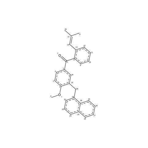 COc1ccc(C(=O)c2ccccc2C=C(C)C)cc1Cc1cccc2ccccc12